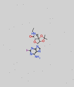 CCNC(=O)[C@H]1O[C@@H](n2cnc3c(N)nc(I)nc32)C2OC(C)(C)O[C@H]21